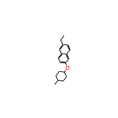 CCc1ccc2cc(OC3CCC(C)CC3)ccc2c1